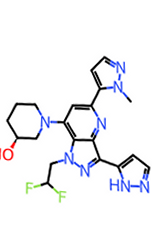 Cn1nccc1-c1cc(N2CCC[C@H](O)C2)c2c(n1)c(-c1ccn[nH]1)nn2CC(F)F